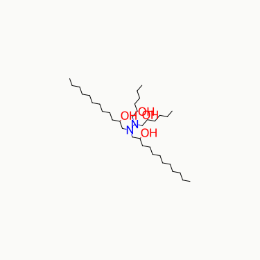 CCCCCCCCCCC(O)CN(CC(O)CCCCCCCCCC)N(CC(O)CCCC)CC(O)CCCC